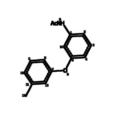 CC(=O)Nc1cccc(Oc2cccc(C)c2)c1